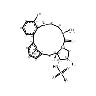 CCS(=O)(=O)N[C@H]1[C@@H](F)CN2C(=O)N(C)CCOc3c(F)cccc3-c3cccc(c3F)C[C@@H]12